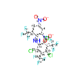 O=[N+]([O-])c1cc([N+](=O)[O-])c(Nc2c(Cl)c(C(F)(F)F)c(Cl)c(C(F)(F)F)c2Cl)c(C(F)(F)F)c1